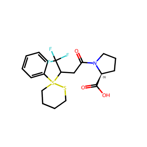 O=C(O)[C@@H]1CCCN1C(=O)CC(C(F)(F)F)S1(c2ccccc2)CCCCS1